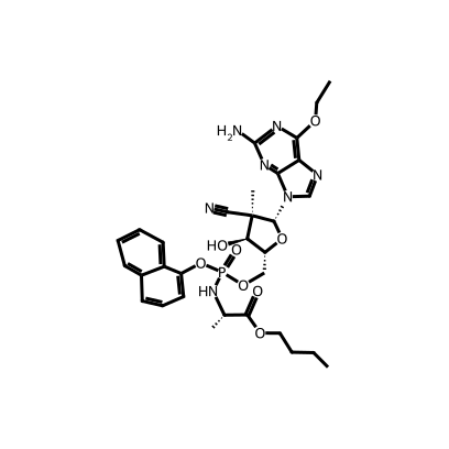 CCCCOC(=O)[C@H](C)NP(=O)(OC[C@H]1O[C@@H](n2cnc3c(OCC)nc(N)nc32)[C@](C)(C#N)[C@@H]1O)Oc1cccc2ccccc12